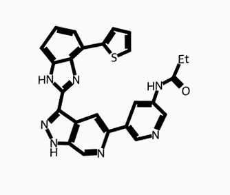 CCC(=O)Nc1cncc(-c2cc3c(-c4nc5c(-c6cccs6)cccc5[nH]4)n[nH]c3cn2)c1